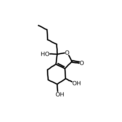 CCCCC1(O)OC(=O)C2=C1CCC(O)C2O